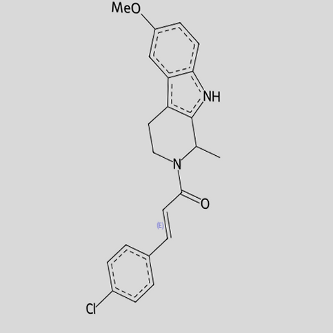 COc1ccc2[nH]c3c(c2c1)CCN(C(=O)/C=C/c1ccc(Cl)cc1)C3C